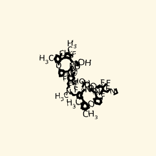 Cc1cc(C)c2c(c1)Oc1ccc(F)c(c1)[C@H](n1cc(CCCN(C)CCc3cc4cc(c3F)[C@H](CC(=O)O)NC(=O)[C@@H](n3cc(CCN5CCC5)c(C(F)(F)F)cc3=O)c3cc(ccc3F)Oc3cc(C)cc(C)c3-4)c(C(F)(F)F)cc1=O)C(=O)N[C@@H](CC(=O)O)c1cc-2cc(C)c1F